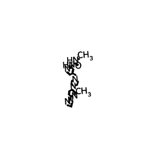 CCNC(=O)Nc1cc(CN2CCN(c3ccc(-n4cccn4)nc3C)CC2)ccn1